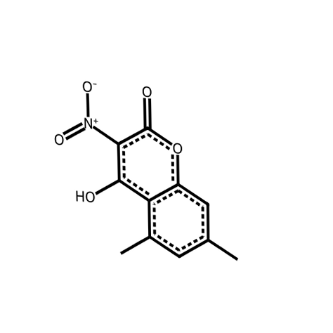 Cc1cc(C)c2c(O)c([N+](=O)[O-])c(=O)oc2c1